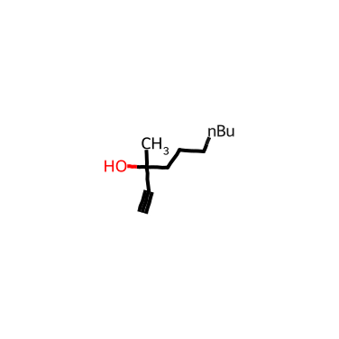 [C]#CC(C)(O)CCCCCCC